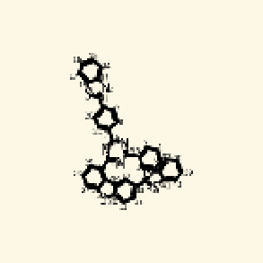 c1ccc(-c2nc(-c3ccc(-c4nc5ccccc5s4)cc3)nc(-c3cccc4sc5ccc(-c6nc7ccccc7s6)cc5c34)n2)cc1